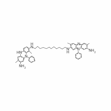 Cc1cc2c(cc1N)N(c1ccccc1)c1c(ccc(NCCCCCCCCCCCCNc3cc4c(cc3C)nc3cc(C)c(N)cc3[n+]4-c3ccccc3)c1C)N2